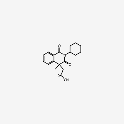 CC1(C[Se]C#N)C(=O)N(C2CCCCC2)C(=O)c2ccccc21